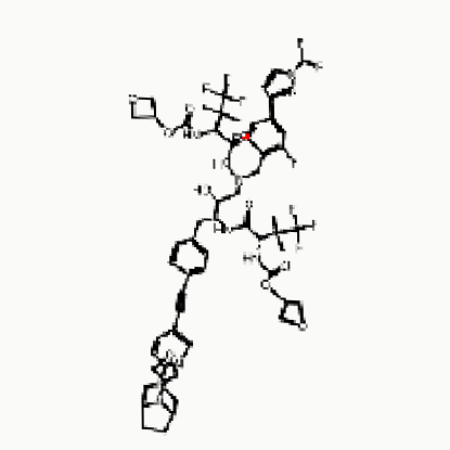 CC(C)([C@H](NC(=O)OC1COC1)C(=O)N[C@@H](Cc1ccc(C#Cc2ccc(N3CC4CCC(C3)N4C3COC3)nc2)cc1)[C@@H](O)CN(Cc1c(F)cc(-c2ccn(C(F)F)n2)cc1F)NC(=O)[C@@H](NC(=O)OC1COC1)C(C)(C)C(F)(F)F)C(F)(F)F